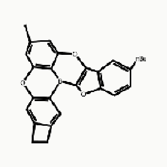 CCCCc1ccc2oc3c(c2c1)Oc1cc(C)cc2c1B3c1cc3c(cc1O2)CC3